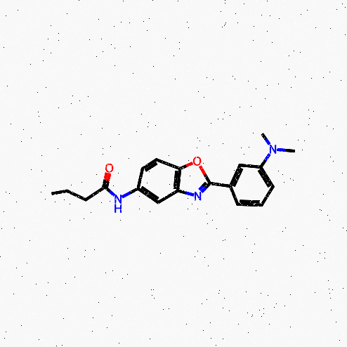 CCCC(=O)Nc1ccc2oc(-c3cccc(N(C)C)c3)nc2c1